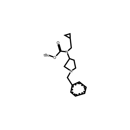 CC(C)(C)OC(=O)N(CC1CC1)C1CCN(Cc2ccccc2)C1